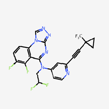 Fc1ccc2c(c(N(CC(F)F)c3ccnc(C#CC4(C(F)(F)F)CC4)c3)nc3nncn32)c1F